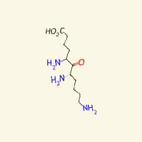 NCCCC[C@H](N)C(=O)C(N)CCCC(=O)O